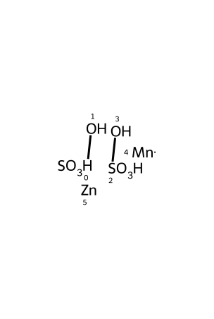 O=S(=O)(O)O.O=S(=O)(O)O.[Mn].[Zn]